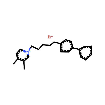 Cc1cc[n+](CCCCCc2ccc(-c3ccccc3)cc2)cc1C.[Br-]